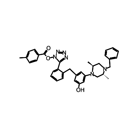 Cc1ccc(C(=O)On2nnnc2-c2ccccc2Cc2cc(O)cc(N3C[C@@H](C)N(Cc4ccccc4)C[C@@H]3C)c2)cc1